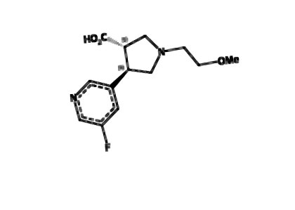 COCCN1C[C@@H](C(=O)O)[C@H](c2cncc(F)c2)C1